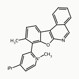 Cc1ccc2c(oc3ncc4ccccc4c32)c1-c1cc(C(C)C)cc[n+]1C